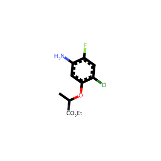 CCOC(=O)C(C)Oc1cc(N)c(F)cc1Cl